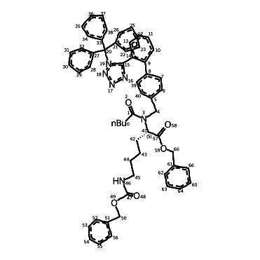 CCCCC(=O)N(Cc1ccc(-c2ccccc2-c2nnnn2C(c2ccccc2)(c2ccccc2)c2ccccc2)cc1)[C@@H](CCCCNC(=O)OCc1ccccc1)C(=O)OCc1ccccc1